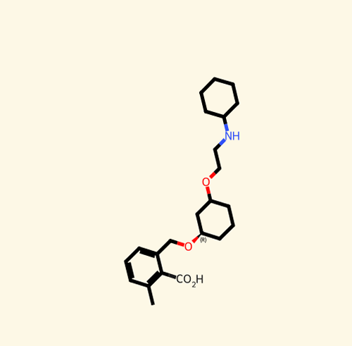 Cc1cccc(CO[C@@H]2CCCC(OCCNC3CCCCC3)C2)c1C(=O)O